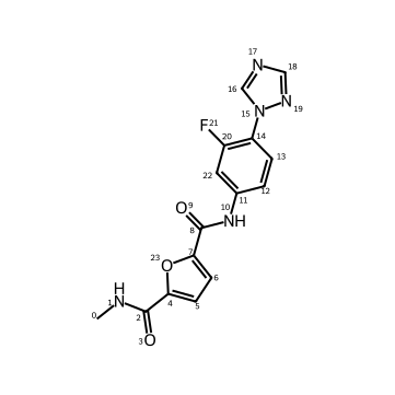 CNC(=O)c1ccc(C(=O)Nc2ccc(-n3cncn3)c(F)c2)o1